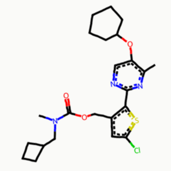 Cc1nc(-c2sc(Cl)cc2COC(=O)N(C)CC2CCC2)ncc1OC1CCCCC1